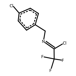 FC(F)(F)C(Cl)=NCc1ccc(Cl)cc1